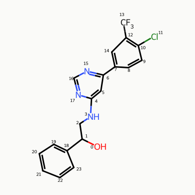 OC(CNc1cc(-c2ccc(Cl)c(C(F)(F)F)c2)ncn1)c1ccccc1